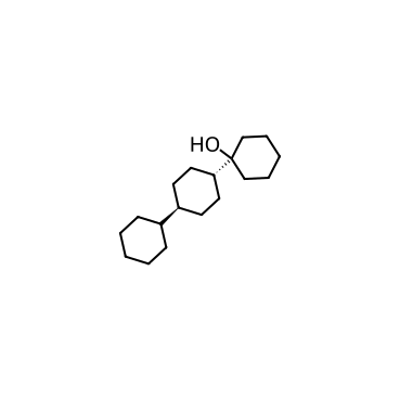 OC1([C@H]2CC[C@H](C3CCCCC3)CC2)CCCCC1